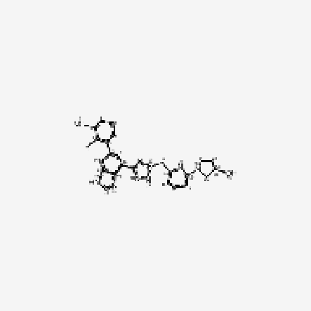 Cc1c(C#N)cccc1-c1cc(-c2cn(Cc3cccc(N4CC[C@@H](O)C4)n3)nn2)c2nc[nH]c2n1